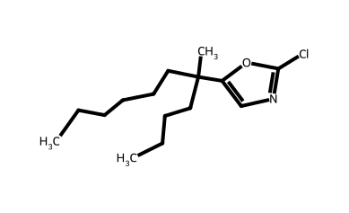 CCCCCCC(C)(CCCC)c1cnc(Cl)o1